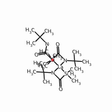 CC(C)(C)[N]C(=O)[Si](C)(C)[La]12([N](C(C)(C)C)C(=O)[Si]1(C)C)[N](C(C)(C)C)C(=O)[Si]2(C)C